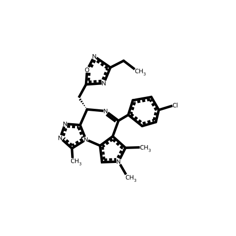 CCc1noc(C[C@@H]2N=C(c3ccc(Cl)cc3)c3c(cn(C)c3C)-n3c(C)nnc32)n1